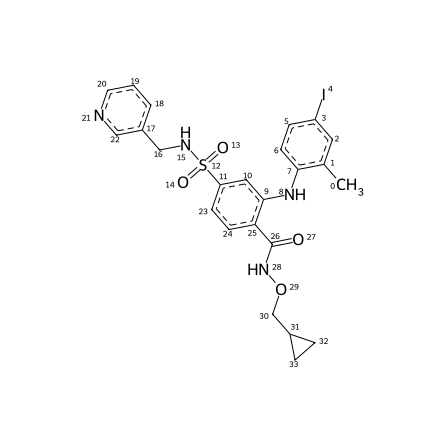 Cc1cc(I)ccc1Nc1cc(S(=O)(=O)NCc2cccnc2)ccc1C(=O)NOCC1CC1